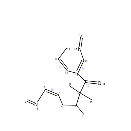 C=N/C=C\CC(C)C(C)(C)C(=O)C(/C=C\C)=C/N=C